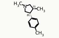 Cc1ccc([C@@H]2CN(C)C[C@H]2C)cc1